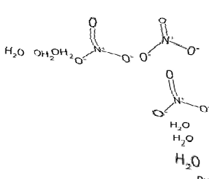 O.O.O.O.O.O.O=[N+]([O-])[O-].O=[N+]([O-])[O-].O=[N+]([O-])[O-].[Ru+3]